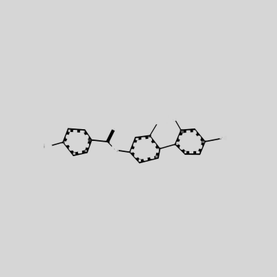 CC(C)c1ccc(C(=O)Nc2ccc(-c3ccc(N)cc3C(F)(F)F)c(C(F)(F)F)c2)cc1